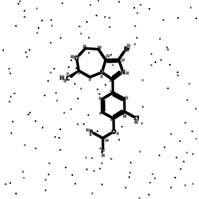 C[C@@H]1Cn2c(-c3ccc(OC(F)F)c(Cl)c3)nc(Br)c2CCO1